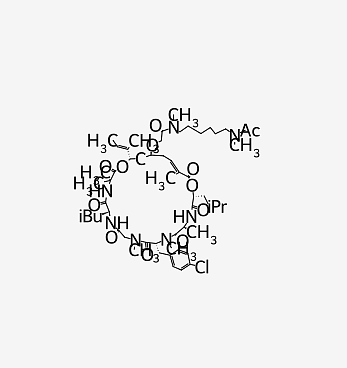 C/C=C(\C)[C@@H]1C[C@@H](OCC(=O)N(C)CCCCCCN(C)C(C)=O)C/C=C(\C)C(=O)O[C@H](CC(C)C)C(=O)N[C@@H](C)C(=O)N(C)[C@H](Cc2ccc(Cl)cc2)C(=O)N(C)CC(=O)N[C@@H](C(C)CC)C(=O)NC(C)(C)C(=O)O1